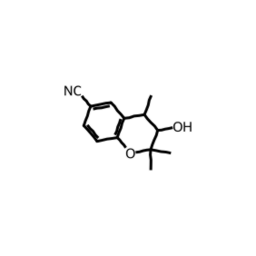 CC1c2cc(C#N)ccc2OC(C)(C)C1O